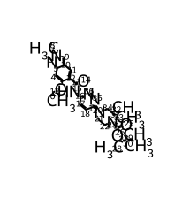 CCOc1cc2nn(C)cc2cc1C(=O)Nc1ccc(N2CCN(C(=O)OC(C)(C)C)C(C)(C)C2)nn1